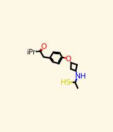 CC(S)N[C@H]1C[C@@H](Oc2ccc(CC(=O)C(C)C)cc2)C1